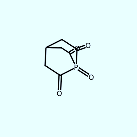 O=C1CC2CC(=O)P1(=O)C(=O)C2